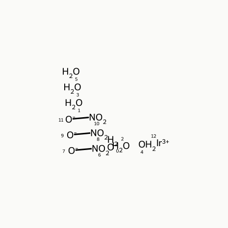 O.O.O.O.O.O.O=[N+]([O-])[O-].O=[N+]([O-])[O-].O=[N+]([O-])[O-].[Ir+3]